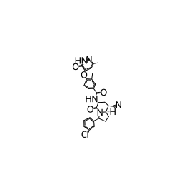 Cc1cc(Oc2ccc(C(=O)N[C@@H]3CC(C#N)[C@H]4CC[C@@H](c5cccc(Cl)c5)N4C3=O)cc2C)c(=O)[nH]n1